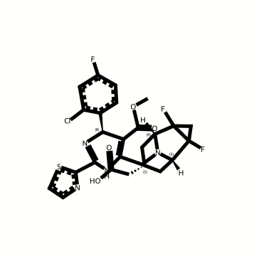 COC(=O)C1=C(CN2[C@H]3C[C@H](CC(=O)O)C[C@@H]2C2(F)CC32F)NC(c2nccs2)=N[C@H]1c1ccc(F)cc1Cl